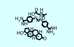 CC(=O)NCC(=O)O.C[C@]12CCC(=O)C[C@@H]1CC[C@@H]1[C@@H]2CC[C@]2(C)[C@@H](O)CC[C@@H]12.N=C(N)c1ccc(/N=N/Nc2ccc(C(=N)N)cc2)cc1